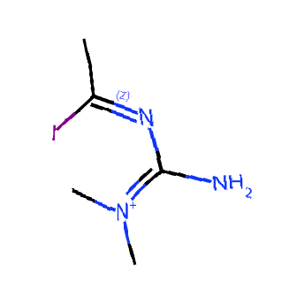 C/C(I)=N/C(N)=[N+](C)C